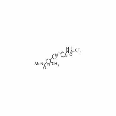 CNC(=O)c1ccc(C2CCN(Cc3ccnc(NC(=O)NCC(F)(F)F)c3)CC2)c(C)n1